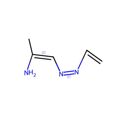 C=C/N=N\C=C(\C)N